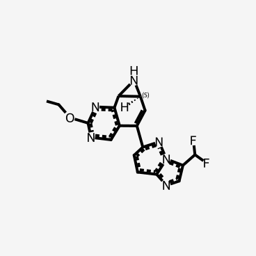 CCOc1ncc2c(n1)C1N[C@H]1C=C2c1ccc2ncc(C(F)F)n2n1